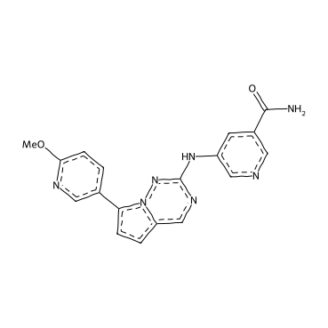 COc1ccc(-c2ccc3cnc(Nc4cncc(C(N)=O)c4)nn23)cn1